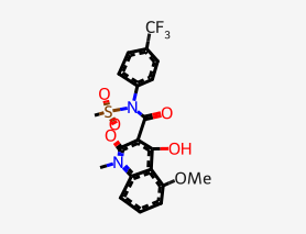 COc1cccc2c1c(O)c(C(=O)N(c1ccc(C(F)(F)F)cc1)S(C)(=O)=O)c(=O)n2C